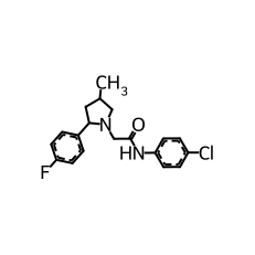 CC1CC(c2ccc(F)cc2)N(CC(=O)Nc2ccc(Cl)cc2)C1